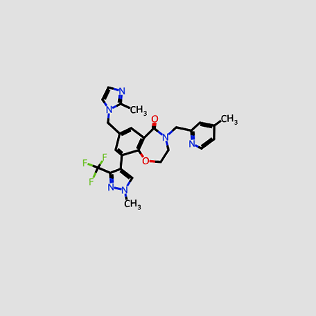 Cc1ccnc(CN2CCOc3c(cc(Cn4ccnc4C)cc3-c3cn(C)nc3C(F)(F)F)C2=O)c1